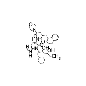 CCC(O)CC(O)[C@H](CC1CCCCC1)NC(=O)[C@H](Cc1c[nH]cn1)NC(=O)C(CC(=O)N1CCOCC1)Cc1cccc2ccccc12